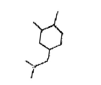 CC1CCC(CN(C)C)CC1C